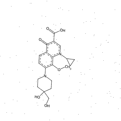 COc1c(N2CCC(O)(CO)CC2)ccc2c(=O)c(C(=O)O)cn(C3CC3)c12